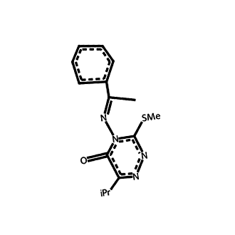 CSc1nnc(C(C)C)c(=O)n1N=C(C)c1ccccc1